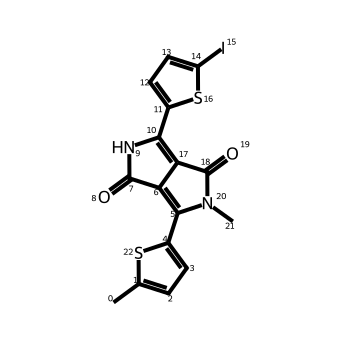 Cc1ccc(C2=C3C(=O)NC(c4ccc(I)s4)=C3C(=O)N2C)s1